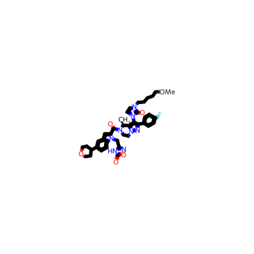 COCCCCCn1ccn(-c2c(-c3ccc(F)cc3)nn3c2[C@H](C)N(C(=O)c2cc4cc(C5CCOCC5)ccc4n2Cc2noc(=O)[nH]2)CC3)c1=O